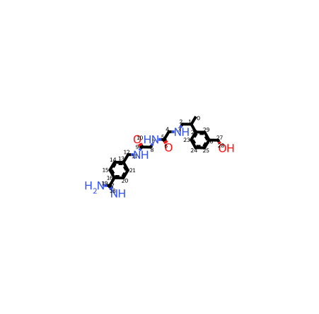 CC(CNCC(=O)NCC(=O)NCc1ccc(C(=N)N)cc1)c1cccc(CO)c1